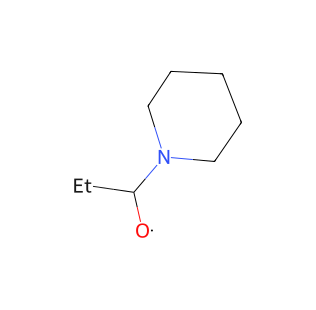 CCC([O])N1CCCCC1